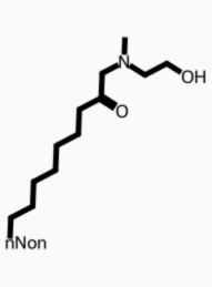 CCCCCCCCCCCCCCCCC(=O)CN(C)CCO